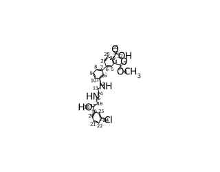 COC(=O)c1cc(-c2cccc(NCCNCC(O)c3cccc(Cl)c3)c2)ccc1C(=O)O